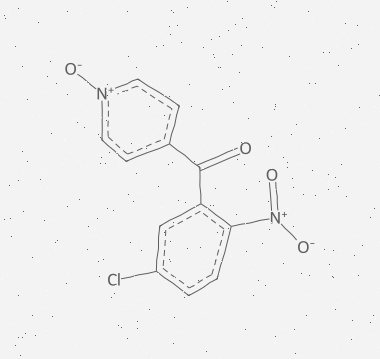 O=C(c1cc[n+]([O-])cc1)c1cc(Cl)ccc1[N+](=O)[O-]